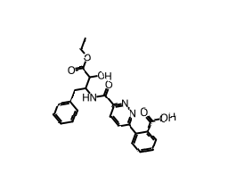 CCOC(=O)C(O)C(Cc1ccccc1)NC(=O)c1ccc(-c2ccccc2C(=O)O)nn1